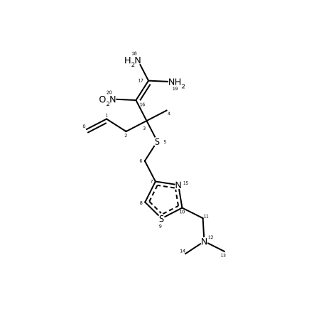 C=CCC(C)(SCc1csc(CN(C)C)n1)C(=C(N)N)[N+](=O)[O-]